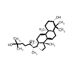 C[C@H](C(O)CCC(C)(C)O)[C@H]1CC[C@@]2(C)C3=CCC4C(C)(C)[C@@H](O)CC[C@]4(C)C3=CC[C@]12C